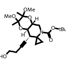 COC1(C)O[C@@H]2[C@@H](C#CCCO)C3(CC3)N(C(=O)OC(C)(C)C)C[C@H]2OC1(C)OC